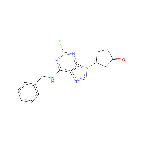 O=C1CCC(n2cnc3c(NCc4ccccc4)nc(F)nc32)C1